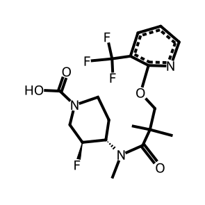 CN(C(=O)C(C)(C)COc1ncccc1C(F)(F)F)[C@H]1CCN(C(=O)O)C[C@@H]1F